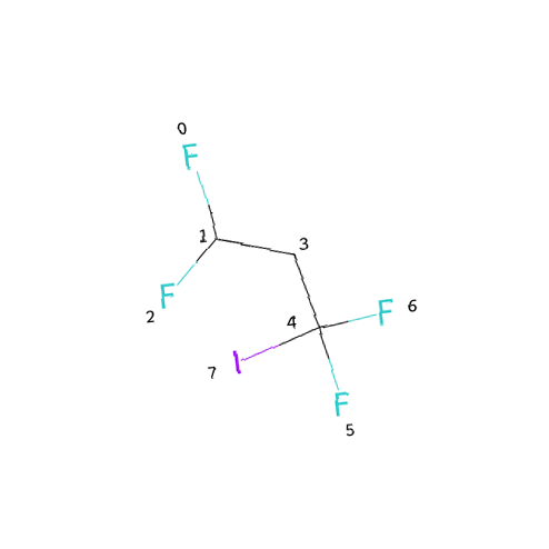 FC(F)CC(F)(F)I